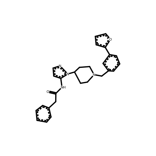 O=C(Cc1ccccc1)Nc1ccnn1C1CCN(Cc2cccc(-c3ccco3)c2)CC1